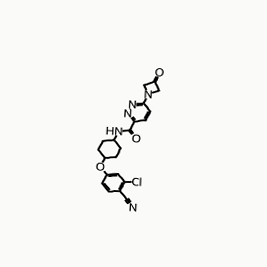 N#Cc1ccc(OC2CCC(NC(=O)c3ccc(N4CC(=O)C4)nn3)CC2)cc1Cl